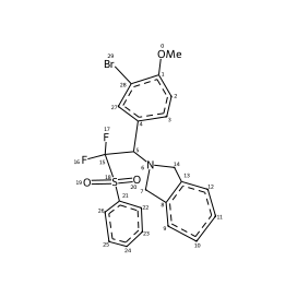 COc1ccc(C(N2Cc3ccccc3C2)C(F)(F)S(=O)(=O)c2ccccc2)cc1Br